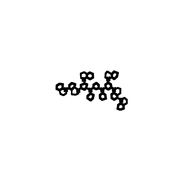 c1ccc(N(c2cc(N3CCCc4ccccc43)cc(N3CCCc4c3cccc4N3CCCc4ccccc43)c2)c2cccc(N(c3ccccc3)c3cc(N4CCCc5ccccc54)cc(N4CCCc5c4cccc5N4CCCc5ccccc54)c3)c2)cc1